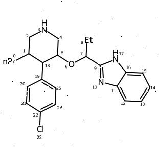 CCCC1CNCC(OC(CC)c2nc3ccccc3[nH]2)C1c1ccc(Cl)cc1